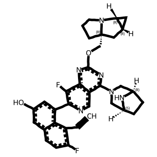 C#Cc1c(F)ccc2cc(O)cc(-c3ncc4c(N5C[C@H]6CC[C@@H](C5)N6)nc(OC[C@]56CCCN5[C@@H]5C[C@@H]5C6)nc4c3F)c12